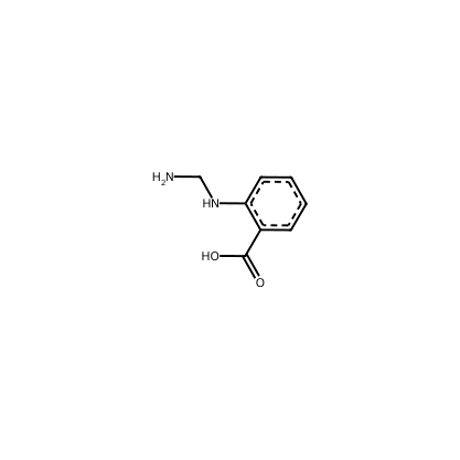 NCNc1ccccc1C(=O)O